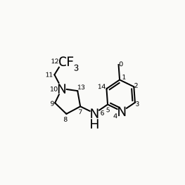 Cc1ccnc(NC2CCN(CC(F)(F)F)C2)c1